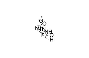 CCOC(=O)c1cnn2cc(F)c(NC3CCC[C@@H]3O)nc12